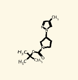 Cc1cnn(C2CCN(C(=O)OC(C)(C)C)C2)c1